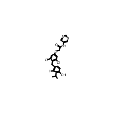 CC(C)c1c(O)ccc(Cc2c(Cl)cc(OCC(=O)Nc3cncnc3)cc2Cl)c1F